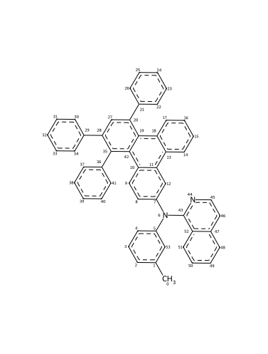 Cc1cccc(N(c2ccc3c(c2)c2ccccc2c2c(-c4ccccc4)cc(-c4ccccc4)c(-c4ccccc4)c32)c2nccc3ccccc23)c1